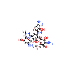 CCNC[C@H]1O[C@H](O[C@H]2[C@H](O)[C@@H](O[C@H]3O[C@H](CO)[C@@H](O)[C@H](N)[C@H]3O)[C@H](NC(=O)C3(O)CC(N)C3)C[C@@H]2N)[C@H](N)C[C@@H]1O